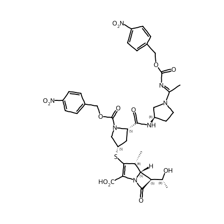 CC(=NC(=O)OCc1ccc([N+](=O)[O-])cc1)N1CC[C@@H](NC(=O)[C@@H]2C[C@H](SC3=C(C(=O)O)N4C(=O)[C@H]([C@@H](C)O)[C@H]4[C@H]3C)CN2C(=O)OCc2ccc([N+](=O)[O-])cc2)C1